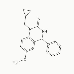 COc1ccc2c(c1)C(c1ccccc1)NC(=S)N2CC1CC1